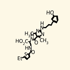 CCc1ccc(C(=O)NC[C@H](NC(=O)c2c(C)nc(NCCCc3cccc(O)c3)nc2C)C(=O)O)s1